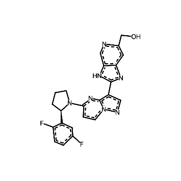 OCc1cc2nc(-c3cnn4ccc(N5CCC[C@@H]5c5cc(F)ccc5F)nc34)[nH]c2cn1